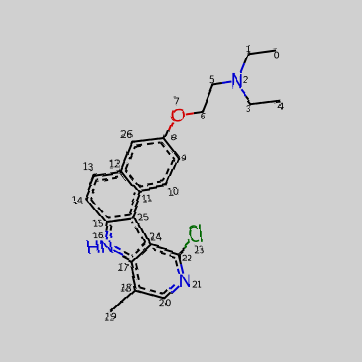 CCN(CC)CCOc1ccc2c(ccc3[nH]c4c(C)cnc(Cl)c4c32)c1